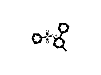 Cc1ccc(NS(=O)(=O)c2ccccc2)c(-c2ccccc2)c1